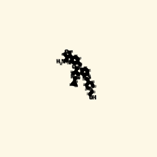 Nc1nc2cc(CN(C(=O)c3cnc(C4CC4)nc3)c3ccc4sc(C5CCN(CCO)CC5)nc4c3)ccc2c2c1COC2